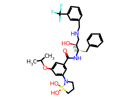 CC(C)Oc1cc(C(=O)N[C@@H](Cc2ccccc2)[C@@H](O)CNCc2cccc(C(F)(F)F)c2)cc(N2CCCS2(O)O)c1